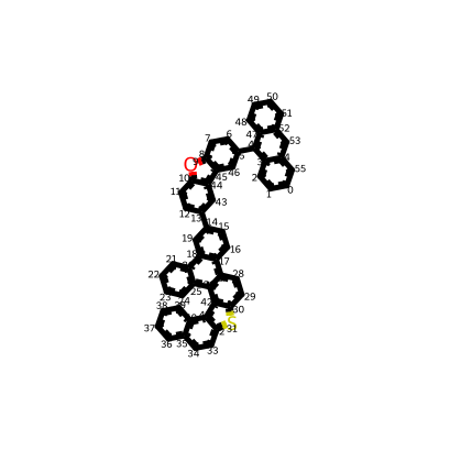 c1ccc2c(-c3ccc4oc5ccc(-c6ccc7c(c6)c6ccccc6c6c7ccc7sc8ccc9ccccc9c8c76)cc5c4c3)c3ccccc3cc2c1